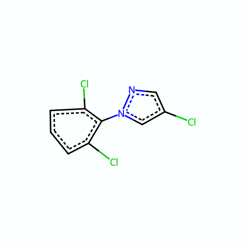 Clc1cnn(-c2c(Cl)cccc2Cl)c1